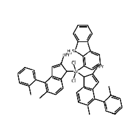 CCCC1=Cc2c(ccc(C)c2-c2ccccc2C)[CH]1[Zr]([Cl])([Cl])([c]1cccc2c1[SiH2]c1ccccc1-2)[CH]1C(CCC)=Cc2c1ccc(C)c2-c1ccccc1C